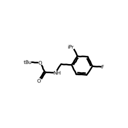 CC(C)c1cc(F)ccc1CNC(=O)OC(C)(C)C